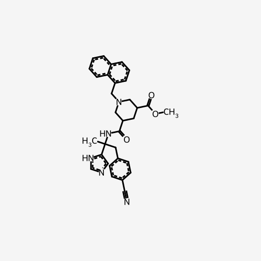 COC(=O)C1CC(C(=O)NC(C)(Cc2ccc(C#N)cc2)c2cnc[nH]2)CN(Cc2cccc3ccccc23)C1